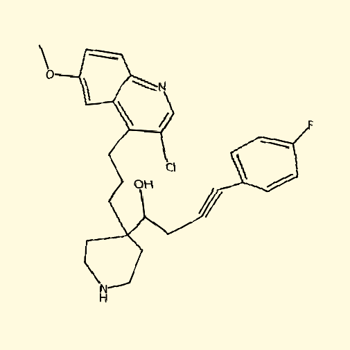 COc1ccc2ncc(Cl)c(CCCC3(C(O)CC#Cc4ccc(F)cc4)CCNCC3)c2c1